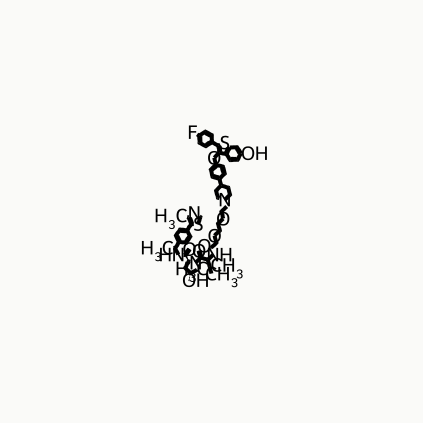 Cc1ncsc1-c1ccc(C(C)NC(=O)[C@@H]2C[C@@H](O)CN2C(=O)C(NC(=O)COCCOCCN2CCC(c3ccc(Oc4c(-c5ccc(F)cc5)sc5cc(O)ccc45)cc3)CC2)C(C)(C)C)cc1